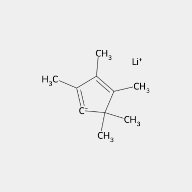 CC1=[C-]C(C)(C)C(C)=C1C.[Li+]